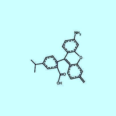 C=c1ccc2c(c1)Oc1cc(N)ccc1C=2c1ccc(C(C)C)cc1C(=O)O